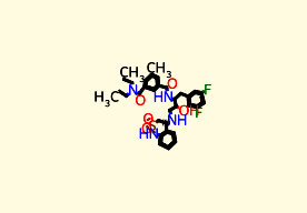 CCCN(CCC)C(=O)c1cc(C)cc(C(=O)NC(Cc2cc(F)cc(F)c2)C(O)CN[C@@H]2CS(=O)(=O)Nc3ccccc32)c1